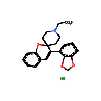 Cl.O=C(O)CN1CCC2(CC1)Oc1ccccc1C=C2c1cccc2c1OCO2